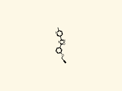 C#CCOc1cccc(-c2nc(-c3ccc(C)nc3)no2)c1